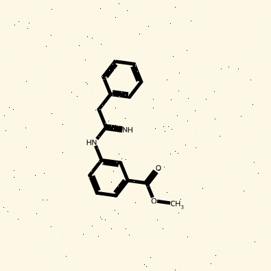 COC(=O)c1cccc(NC(=N)Cc2ccccc2)c1